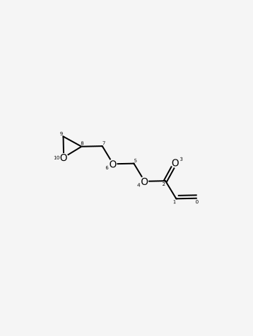 C=CC(=O)OCOCC1CO1